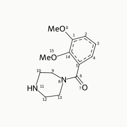 COc1cccc(C(=O)N2CCNCC2)c1OC